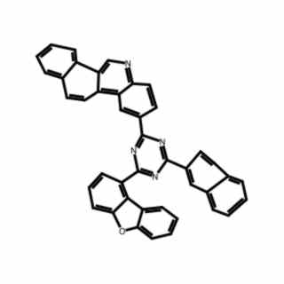 c1ccc2cc(-c3nc(-c4ccc5ncc6c7ccccc7ccc6c5c4)nc(-c4cccc5oc6ccccc6c45)n3)ccc2c1